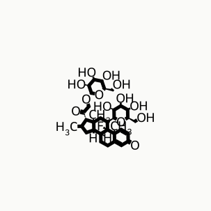 CC1C[C@H]2[C@@H]3CCC4=CC(=O)C=C[C@]4(C)[C@@]3(F)C([C@@H]3O[C@H](CO)[C@H](O)[C@H](O)[C@H]3O)C[C@]2(C)[C@H]1C(=O)CO[C@@H]1O[C@H](CO)[C@H](O)[C@H](O)[C@H]1O